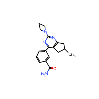 CC1Cc2nc(N3CCC3)nc(-c3cccc(C(N)=O)c3)c2C1